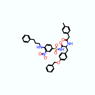 Cc1ccc(CC(=O)NC(Cc2ccc(OCc3ccccc3)cc2)C(=O)NS(=O)(=O)c2ccc(NCCCc3ccccc3)c([N+](=O)[O-])c2)cc1